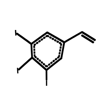 C=Cc1cc(I)c(I)c(I)c1